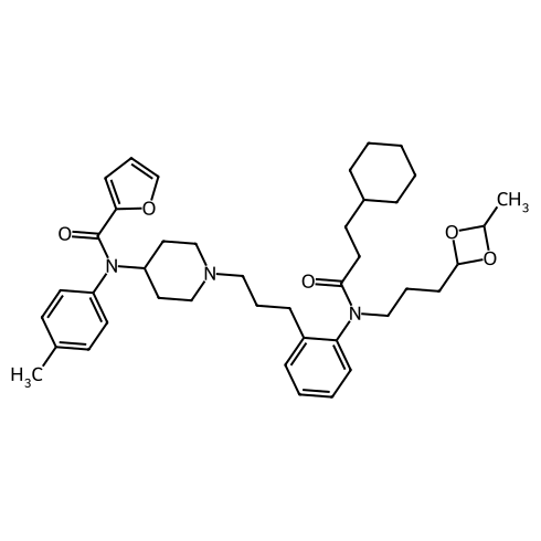 Cc1ccc(N(C(=O)c2ccco2)C2CCN(CCCc3ccccc3N(CCCC3OC(C)O3)C(=O)CCC3CCCCC3)CC2)cc1